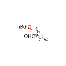 C=C/C=C(C=O)\C=C/COCCCC